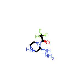 NNC1CNCCN1C(=O)C(F)(F)F